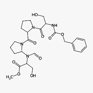 COC(=O)C(CO)N(C=O)C1CCCN1C(=O)C1CCCN1C(=O)C(CO)NC(=O)OCc1ccccc1